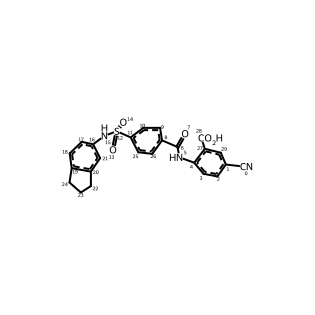 N#Cc1ccc(NC(=O)c2ccc(S(=O)(=O)Nc3ccc4c(c3)CCC4)cc2)c(C(=O)O)c1